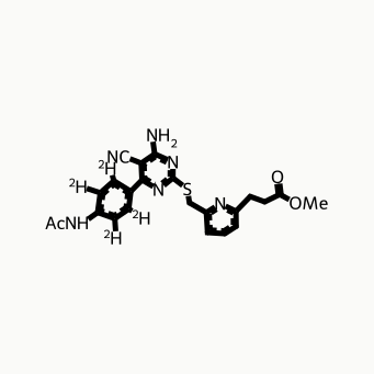 [2H]c1c([2H])c(-c2nc(SCc3cccc(CCC(=O)OC)n3)nc(N)c2C#N)c([2H])c([2H])c1NC(C)=O